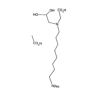 CC(=O)O.CCCCCCCCCCCCCCCCCCN(CC(=O)O)CC(O)O